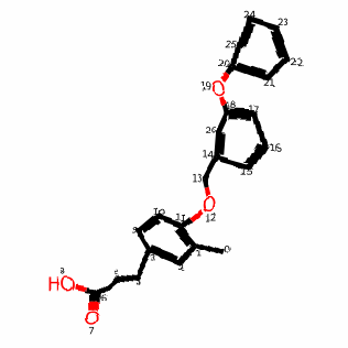 Cc1cc(CCC(=O)O)ccc1OCc1cccc(Oc2ccccc2)c1